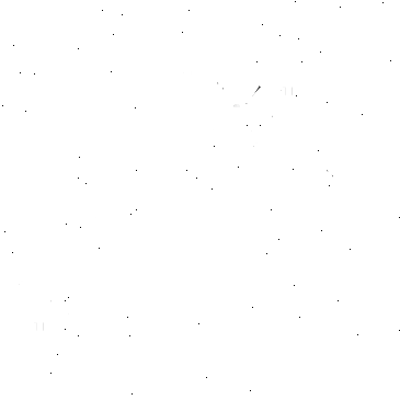 [2H]C([2H])([2H])c1ccc(C#Cc2ccc(S(=O)(=O)N[C@@]([2H])(C(=O)O)C([2H])([2H])c3c[nH]c4ccccc34)s2)cc1